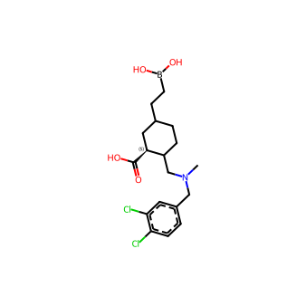 CN(Cc1ccc(Cl)c(Cl)c1)CC1CCC(CCB(O)O)C[C@@H]1C(=O)O